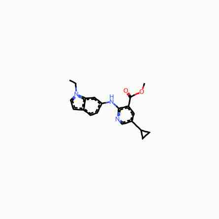 CCn1ccc2ccc(Nc3ncc(C4CC4)cc3C(=O)OC)cc21